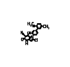 COc1ccc(C)cc1-c1ccc(-n2c(Cl)cc3[nH]c(=O)c(C#N)c(O)c32)cc1